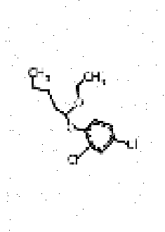 CCCCC(OCC)Oc1ccc(Cl)cc1Cl